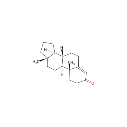 C[C@@]12CCC[C@H]1[C@@H]1CCC3=CC(=O)CC[C@]3(C)[C@H]1CC2